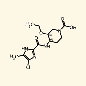 CCO[C@H]1CN(C(=O)O)CC[C@H]1NC(=O)c1nc(Cl)c(C)[nH]1